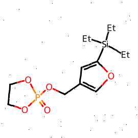 CC[Si](CC)(CC)c1cc(COP2(=O)OCCO2)co1